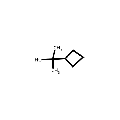 CC(C)(O)C1C[CH]C1